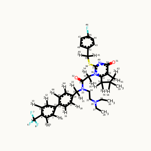 [2H]c1c([2H])c(C(F)(F)F)c([2H])c([2H])c1-c1c([2H])c([2H])c(C([2H])([2H])N(CCN(CC)CC)C(=O)C([2H])([2H])n2c(SC([2H])([2H])c3ccc(F)cc3)nc(=O)c3c2C([2H])([2H])C([2H])(C)C3([2H])[2H])c([2H])c1[2H]